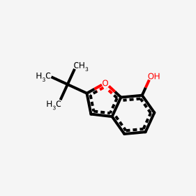 CC(C)(C)c1cc2cccc(O)c2o1